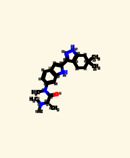 CC(=O)N(C)[C@@H](C)C(=O)N(C)c1ccc2cc(-c3n[nH]c4c3CCC(C)(C)C4)[nH]c2c1